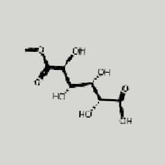 COC(=O)[C@@H](O)[C@@H](O)[C@H](O)[C@@H](O)C(=O)O